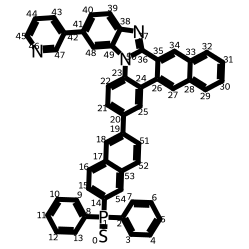 S=P(c1ccccc1)(c1ccccc1)c1ccc2cc(-c3ccc4c(c3)c3cc5ccccc5cc3c3nc5ccc(-c6cccnc6)cc5n43)ccc2c1